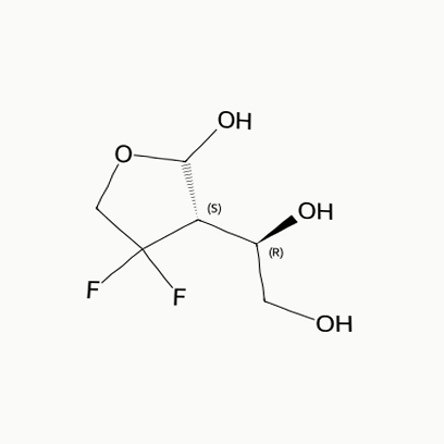 OC[C@H](O)[C@H]1C(O)OCC1(F)F